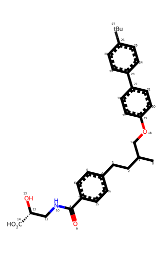 CC(CCc1ccc(C(=O)NC[C@@H](O)C(=O)O)cc1)COc1ccc(-c2ccc(C(C)(C)C)cc2)cc1